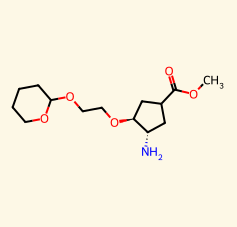 COC(=O)C1C[C@H](OCCOC2CCCCO2)[C@@H](N)C1